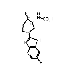 O=C(O)N[C@@H]1CN(c2nc3ncc(F)cc3[nH]2)CC[C@H]1F